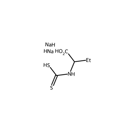 CCC(NC(=S)S)C(=O)O.[NaH].[NaH]